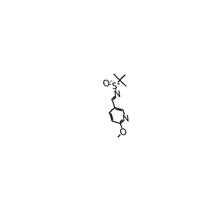 COc1ccc(C=N[S@+]([O-])C(C)(C)C)cn1